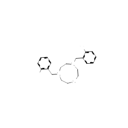 Oc1ccccc1CN1CCNCCN(Cc2ccccc2O)CC1